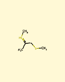 CSC/C(C)=[SH]\C